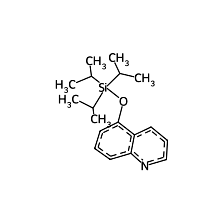 CC(C)[Si](Oc1cccc2ncccc12)(C(C)C)C(C)C